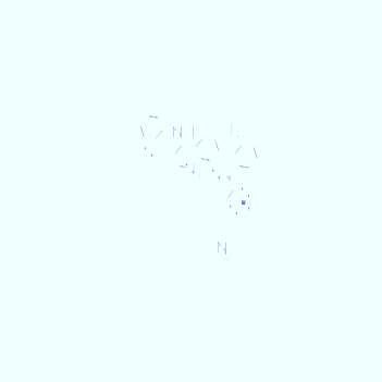 CC(C)(C)N1CCC(n2cc([C@@H](Nc3cc(Cl)cc4c(Nc5ccc(F)c(Cl)c5)c(C#N)cnc34)c3cccc(I)c3)nn2)CC1